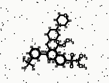 COC(=O)c1c(CN2CCC(N3CCOCC3)CC2)c(-c2cccc(C(F)(F)F)c2)nc2ccc(S(=O)(=O)N(C)C)cc12